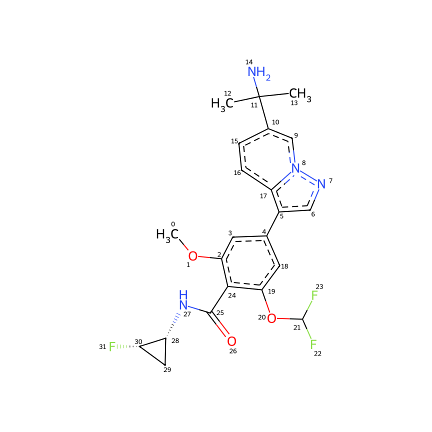 COc1cc(-c2cnn3cc(C(C)(C)N)ccc23)cc(OC(F)F)c1C(=O)N[C@@H]1C[C@@H]1F